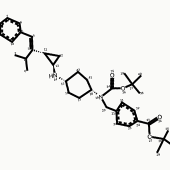 CC(C)/C(=C\c1ccccc1)[C@@H]1C[C@H]1N[C@H]1CC[C@@H](N(Cc2ccc(C(=O)OC(C)(C)C)cc2)C(=O)OC(C)(C)C)CC1